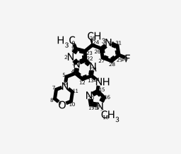 Cc1nn2c(CN3CCOCC3)cc(Nc3cn(C)cn3)nc2c1[C@@H](C)c1ccc(F)cn1